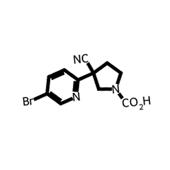 N#CC1(c2ccc(Br)cn2)CCN(C(=O)O)C1